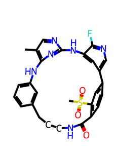 Cc1cnc2nc1Nc1cccc(c1)CCCNC(=O)c1ccc(cc1S(C)(=O)=O)-c1cnc(F)c(c1)N2